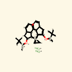 C[SiH](OC1CC2C=CC=CC2[CH]1[Zr]1([CH]2C(O[SiH](C)C(C)(C)C)CC3C=CC=CC32)[CH2][CH2]1)C(C)(C)C.Cl.Cl